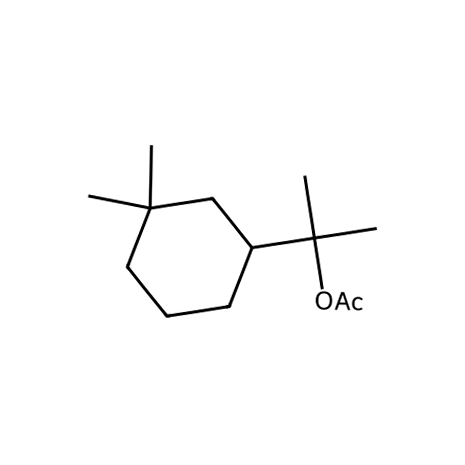 CC(=O)OC(C)(C)C1CCCC(C)(C)C1